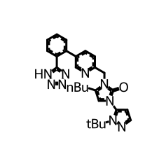 CCCCc1cn(-c2ccnn2C(C)(C)C)c(=O)n1Cc1ccc(-c2ccccc2-c2nnn[nH]2)cn1